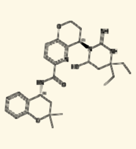 CCC1(CC)CC(O)N([C@@H]2CCOc3ccc(C(=O)N[C@@H]4CC(C)(C)Oc5ccccc54)nc32)C(=N)N1